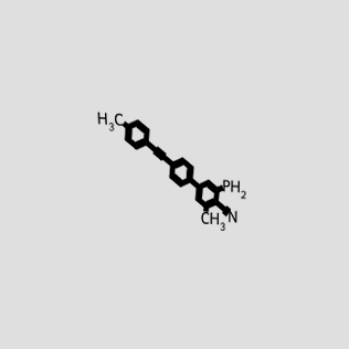 Cc1ccc(C#Cc2ccc(-c3cc(C)c(C#N)c(P)c3)cc2)cc1